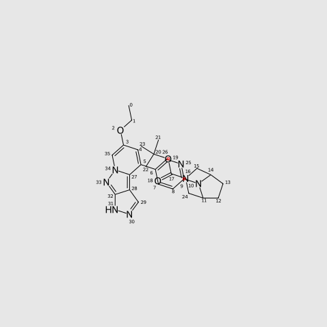 CCOc1cc(-c2ccc(N3C4CCC3CN(C(=O)OC(C)(C)C)C4)nc2)c2c3cn[nH]c3nn2c1